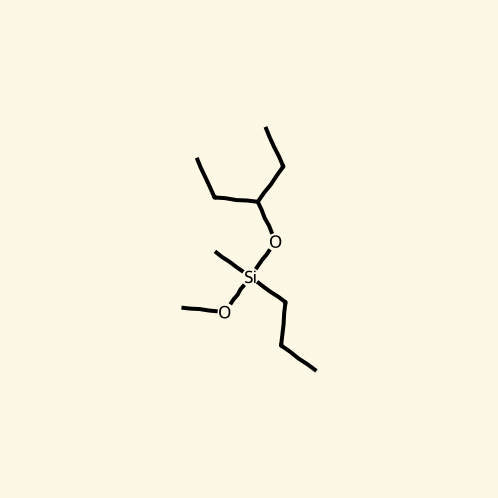 CCC[Si](C)(OC)OC(CC)CC